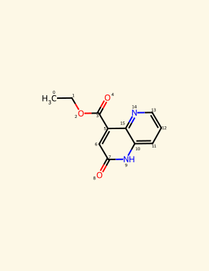 CCOC(=O)c1cc(=O)[nH]c2cccnc12